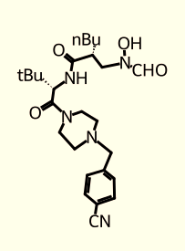 CCCC[C@H](CN(O)C=O)C(=O)N[C@H](C(=O)N1CCN(Cc2ccc(C#N)cc2)CC1)C(C)(C)C